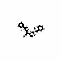 N#C/C(=C1\NC(c2ccccc2)=CS1)c1ccnc(NCC2CCCCC2)n1